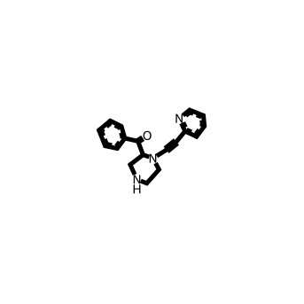 O=C(c1ccccc1)C1CNCCN1C#Cc1ccccn1